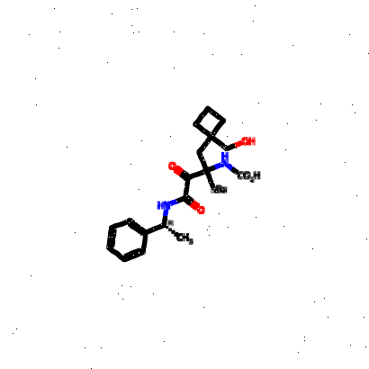 CCCCC(CC1(CO)CCC1)(NC(=O)O)C(=O)C(=O)N[C@H](C)c1ccccc1